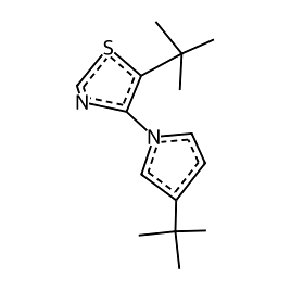 CC(C)(C)c1ccn(-c2ncsc2C(C)(C)C)c1